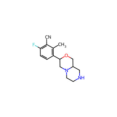 Cc1c(C2CN3CCNCC3CO2)ccc(F)c1C#N